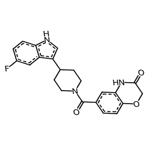 O=C1COc2ccc(C(=O)N3CCC(c4c[nH]c5ccc(F)cc45)CC3)cc2N1